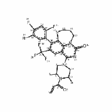 C=CC(=O)N1C(C)CN(c2nc(=O)n3c4c(c(-c5cc(Br)c(F)cc5F)c(C(F)(F)F)cc24)SCCC3)CC1C